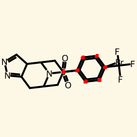 O=S(=O)(c1ccc(C(F)(F)F)cc1)N1C2CC3=NN=CC3C1CC(c1ccc(Br)cc1)C2